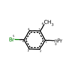 CCCc1ccc(Br)cc1C